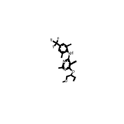 CCC(COC)Oc1nc(C)nc(Nc2c(C)cc(C(F)(F)F)cc2C)c1C